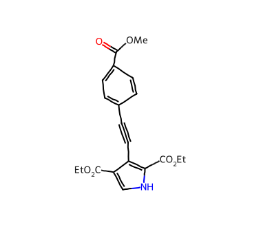 CCOC(=O)c1c[nH]c(C(=O)OCC)c1C#Cc1ccc(C(=O)OC)cc1